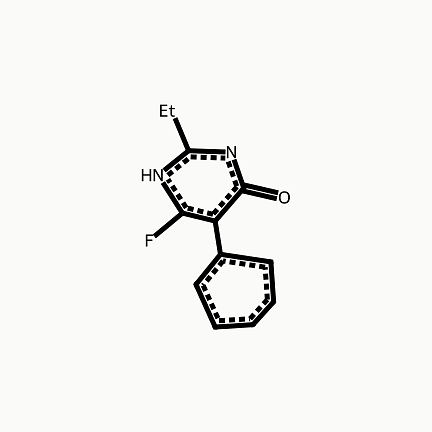 CCc1nc(=O)c(-c2ccccc2)c(F)[nH]1